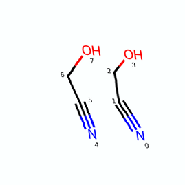 N#CCO.N#CCO